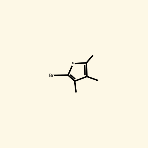 Cc1sc(Br)c(C)c1C